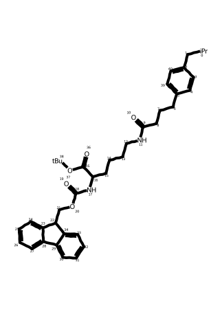 CC(C)Cc1ccc(CCCC(=O)NCCCCC(NC(=O)OCC2c3ccccc3-c3ccccc32)C(=O)OC(C)(C)C)cc1